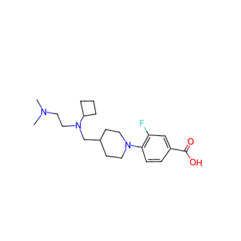 CN(C)CCN(CC1CCN(c2ccc(C(=O)O)cc2F)CC1)C1CCC1